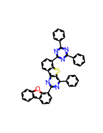 c1ccc(-c2nc(-c3ccccc3)nc(-c3cccc4c3sc3c(-c5ccccc5)nc(-c5cccc6c5oc5ccccc56)nc34)n2)cc1